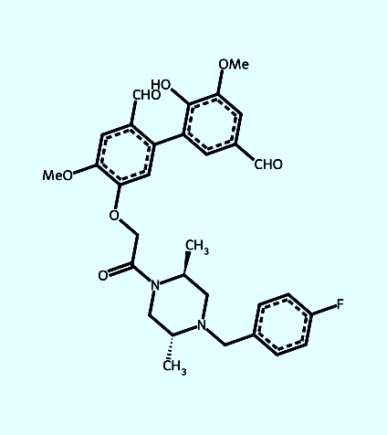 COc1cc(C=O)c(-c2cc(C=O)cc(OC)c2O)cc1OCC(=O)N1C[C@@H](C)N(Cc2ccc(F)cc2)C[C@@H]1C